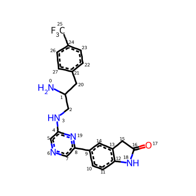 NC(CNc1cncc(-c2ccc3c(c2)CC(=O)N3)n1)Cc1ccc(C(F)(F)F)cc1